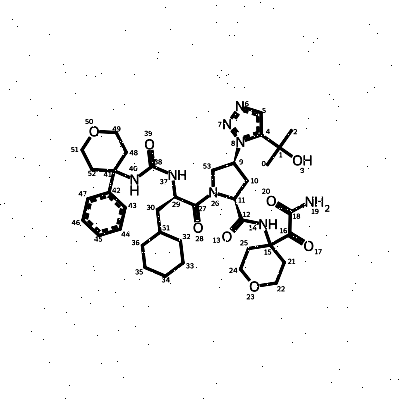 CC(C)(O)c1cnnn1[C@H]1C[C@@H](C(=O)NC2(C(=O)C(N)=O)CCOCC2)N(C(=O)[C@@H](CC2CCCCC2)NC(=O)NC2(c3ccccc3)CCOCC2)C1